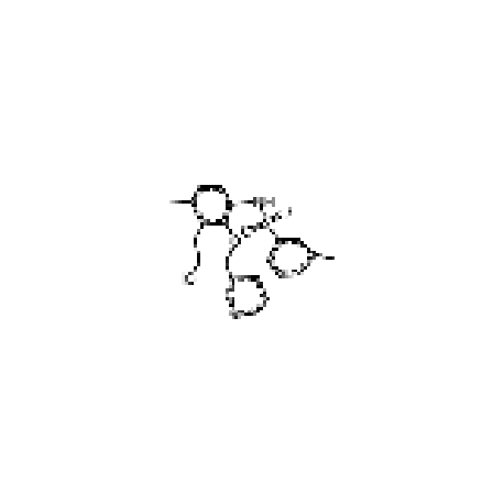 Cc1cccc(S(=O)(=O)Nc2ccc(C)c(CCO)c2OCc2ccccc2)c1